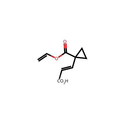 C=COC(=O)C1(C=CC(=O)O)CC1